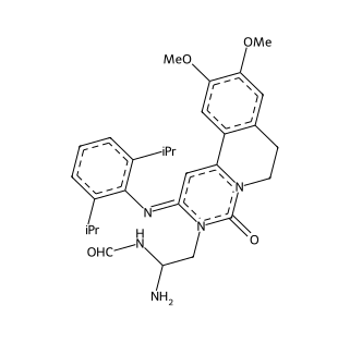 COc1cc2c(cc1OC)-c1cc(=Nc3c(C(C)C)cccc3C(C)C)n(CC(N)NC=O)c(=O)n1CC2